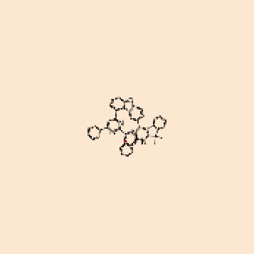 CC1(C)c2ccccc2-c2c(-c3ccc4oc5cccc(-c6cc(-c7ccccc7)nc(-c7ccccc7)n6)c5c4c3)nc(-c3ccccc3)nc21